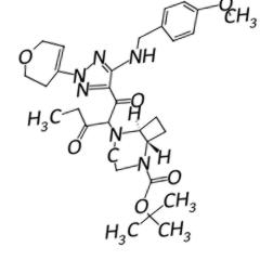 CCC(=O)C(C(=O)c1nn(C2=CCOCC2)nc1NCc1ccc(OC)cc1)N1CCN(C(=O)OC(C)(C)C)[C@H]2CC[C@@H]21